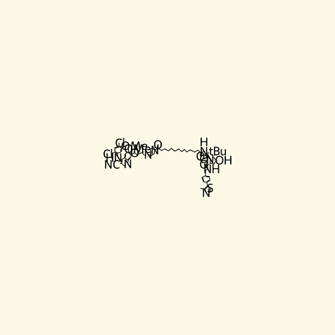 COc1cc(Nc2c(C#N)cnc3cc(OCCCN4CCN(C(=O)CCCCCCCCCCCCC(=O)NC(C(=O)N5C[C@H](O)C[C@H]5C(=O)NCc5ccc(-c6scnc6C)cc5)C(C)(C)C)CC4)c(OC)cc23)c(Cl)cc1Cl